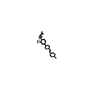 CC1CCC(C=CC2CCC(C3CCC(N=C=S)C(F)C3)CC2)CC1